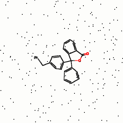 CC(C)Cc1ccc(C2(c3ccccc3)OC(=O)c3ccccc32)cc1